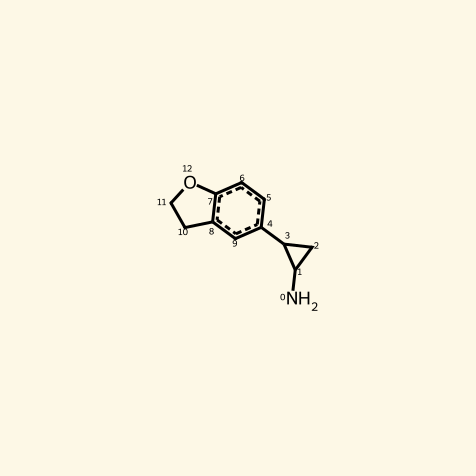 NC1CC1c1ccc2c(c1)CCO2